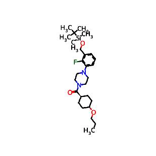 CCCO[C@H]1CC[C@@H](C(=O)N2CCN(c3cccc(CO[Si](C)(C)C(C)(C)C)c3F)CC2)CC1